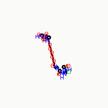 COc1cc(N2CCN(C(=O)CCOCCOCCOCCOCCOCCNc3cccc4c3C(=O)N(C3CCC(=O)NC3=O)C4=O)CC2)ccc1Nc1ncc(Cl)c(Nc2ccccc2P(C)(C)=O)n1